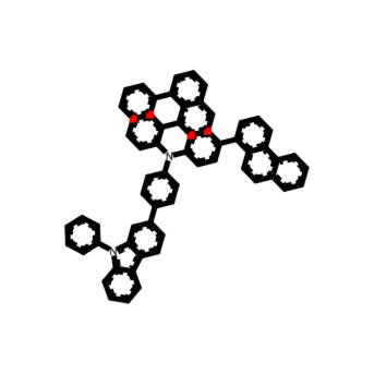 c1ccc(-c2cccc3cccc(-c4ccccc4N(c4ccc(-c5ccc6c7ccccc7n(-c7ccccc7)c6c5)cc4)c4ccc(-c5cccc6c5ccc5ccccc56)cc4)c23)cc1